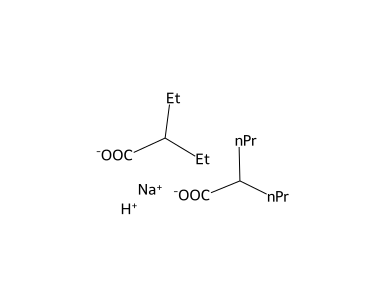 CCC(CC)C(=O)[O-].CCCC(CCC)C(=O)[O-].[H+].[Na+]